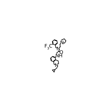 O=C(CNc1cccc2c1CCN(CC1CC1)C2)N(CCN1CCCC1)Cc1ccccc1C(F)(F)F